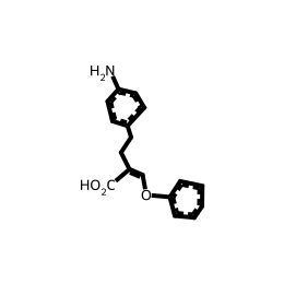 Nc1ccc(CCC(=COc2ccccc2)C(=O)O)cc1